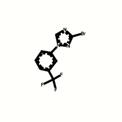 FC(F)(F)c1cccc(-n2cnc(Br)n2)c1